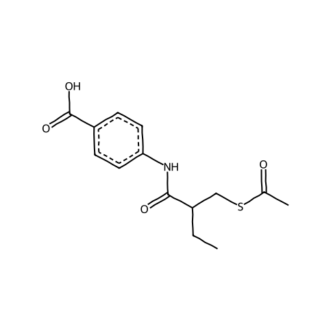 CCC(CSC(C)=O)C(=O)Nc1ccc(C(=O)O)cc1